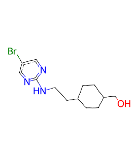 OCC1CCC(CCNc2ncc(Br)cn2)CC1